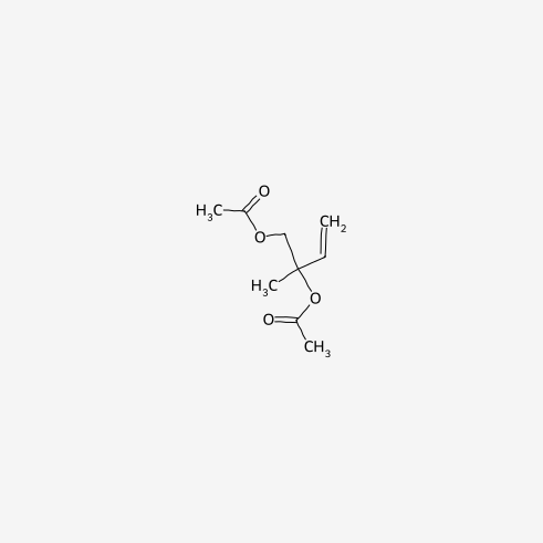 C=CC(C)(COC(C)=O)OC(C)=O